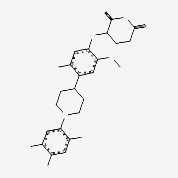 COc1cc(C2CCN(c3cc(F)c(Cl)cc3F)CC2)c(F)cc1NC1CCC(=O)NC1=O